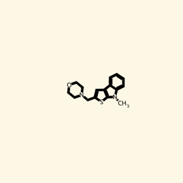 Cn1c2ccccc2c2cc(CN3CCOCC3)sc21